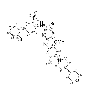 CCc1cc(Nc2ncc(Br)c(NC3=C(P(C)(C)=O)CC(c4ccccc4F)C=C3)n2)c(OC)cc1N1CCC(N2CCOCC2)CC1